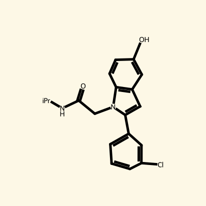 CC(C)NC(=O)Cn1c(-c2cccc(Cl)c2)cc2cc(O)ccc21